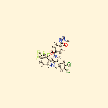 CN(Cc1ccc(C(F)(F)F)c(F)c1)[C@@H]1CN(C(=O)c2ccc(-c3nnco3)cc2)C[C@@H]1c1ccc(Cl)c(Cl)c1